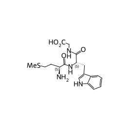 CSCC[C@H](N)C(=O)N[C@@H](Cc1c[nH]c2ccccc12)C(=O)NCC(=O)O